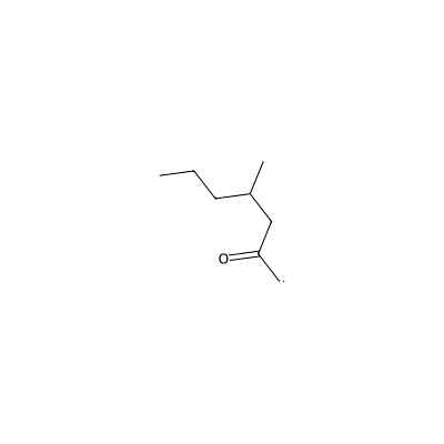 [CH2]C(=O)CC(C)CCC